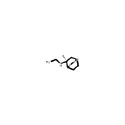 CCN[C@H]1CN2CCC1CC2